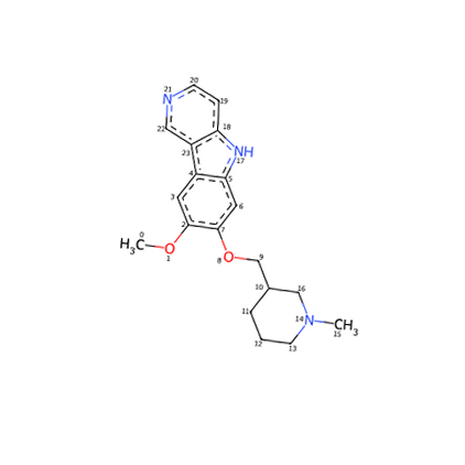 COc1cc2c(cc1OCC1CCCN(C)C1)[nH]c1ccncc12